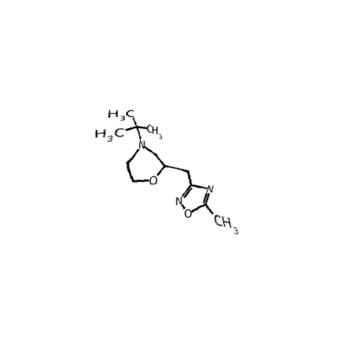 Cc1nc(CC2CN(C(C)(C)C)CCO2)no1